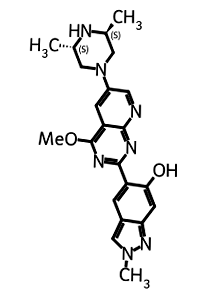 COc1nc(-c2cc3cn(C)nc3cc2O)nc2ncc(N3C[C@H](C)N[C@@H](C)C3)cc12